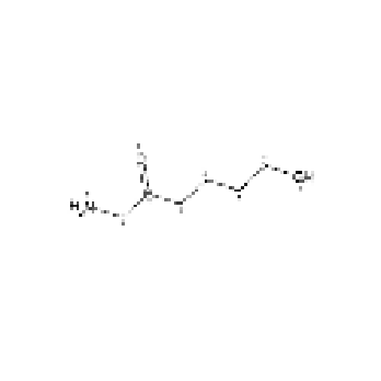 NCC(=O)CCCCO